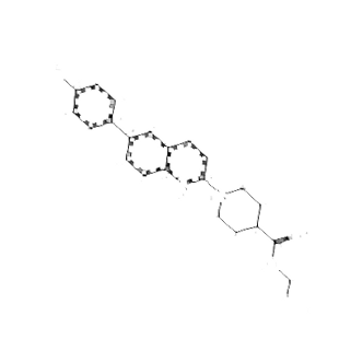 CCOC(=O)C1CCN(c2ccc3cc(-c4ccc(F)cc4)ccc3n2)CC1